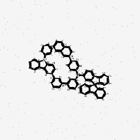 c1ccc(-n2c3ccccc3c3cc(-c4cccc(-c5cccc(N(c6ccc(-c7ccc8ccccc8c7)cc6)c6ccc7c(c6)C6(c8ccccc8-c8ccccc86)c6ccccc6-7)c5)c4)ccc32)cc1